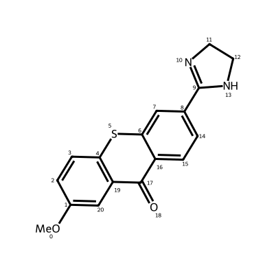 COc1ccc2sc3cc(C4=NCCN4)ccc3c(=O)c2c1